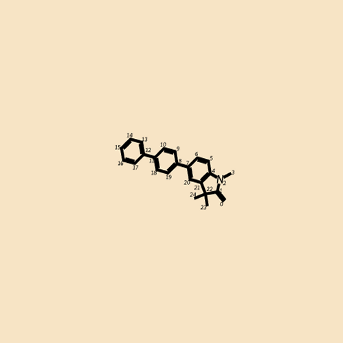 C=C1N(C)c2ccc(-c3ccc(-c4ccccc4)cc3)cc2C1(C)C